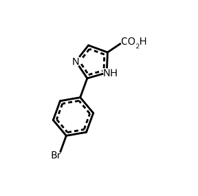 O=C(O)c1cnc(-c2ccc(Br)cc2)[nH]1